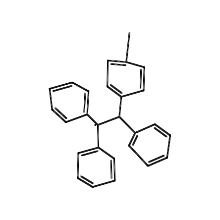 Cc1ccc(C([C](c2ccccc2)c2ccccc2)c2ccccc2)cc1